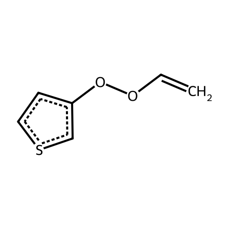 C=COOc1ccsc1